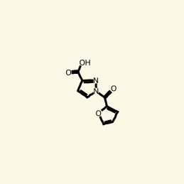 O=C(O)c1ccn(C(=O)c2ccco2)n1